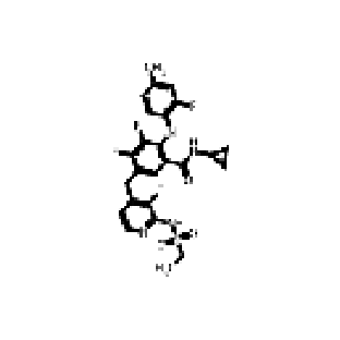 CCS(=O)(=O)Nc1nccc(Cc2cc(C(=O)NC3CC3)c(Nc3ccc(C)cc3F)c(F)c2F)c1F